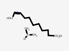 CCCCCCCC/C=C\CCCCCCCC(=O)OCC.C[S+](C)[O-]